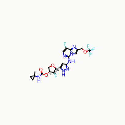 CC1(NC(=O)O[C@H]2CO[C@@H](c3cc(Nc4ncc(F)c5nc(COC(F)(F)F)cn45)n[nH]3)[C@H]2F)CC1